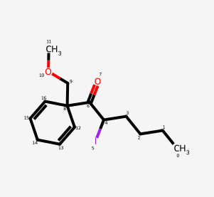 CCCCC(I)C(=O)C1(COC)C=CCC=C1